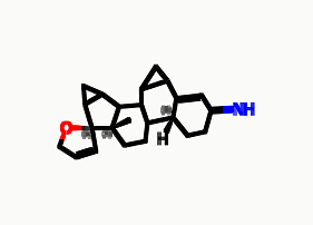 C[C@]12CCC3C(C4CC4C4=CC(=N)CC[C@@H]43)C1C1CC1[C@@]21C=CCO1